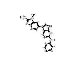 Cc1nc2ncc(-c3c[nH]c4nc(Nc5ccncc5)ncc34)cc2n1C(C)C